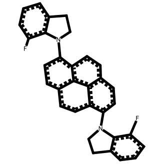 Fc1cccc2c1N(c1ccc3ccc4c(N5CCc6cccc(F)c65)ccc5ccc1c3c54)CC2